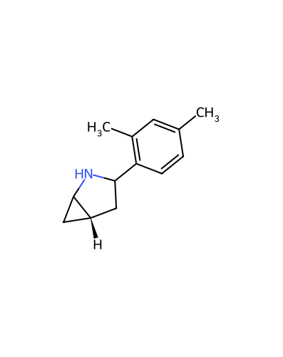 Cc1ccc(C2C[C@@H]3CC3N2)c(C)c1